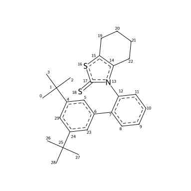 CC(C)(C)c1cc(-c2ccccc2-n2c3c(sc2=S)CCCC3)cc(C(C)(C)C)c1